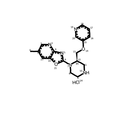 Cc1cnc2nc(N3CCNC[C@@H]3COc3cccnc3)oc2c1.Cl